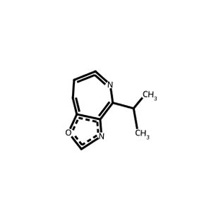 CC(C)C1=c2ncoc2=CC=C=N1